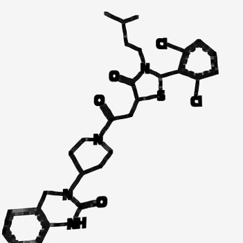 CC(C)CCN1C(=O)C(CC(=O)N2CCC(N3Cc4ccccc4NC3=O)CC2)SC1c1c(Cl)cccc1Cl